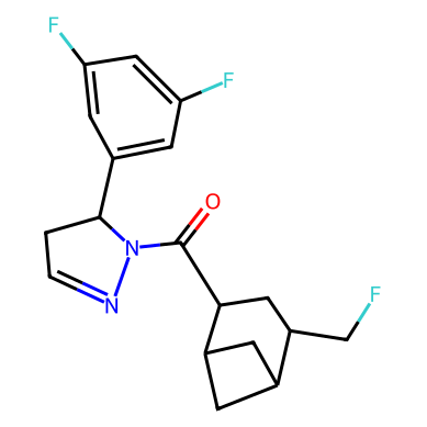 O=C(C1CC(CF)C2CC1C2)N1N=CCC1c1cc(F)cc(F)c1